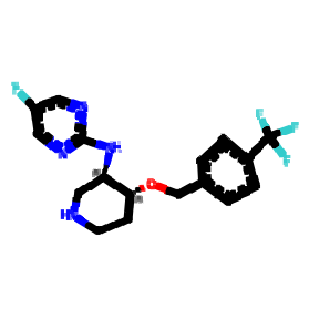 Fc1cnc(N[C@@H]2CNCC[C@H]2OCc2ccc(C(F)(F)F)cc2)nc1